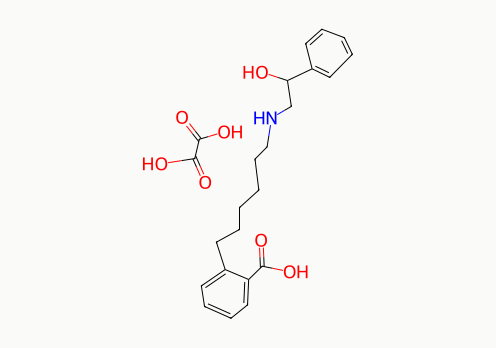 O=C(O)C(=O)O.O=C(O)c1ccccc1CCCCCCNCC(O)c1ccccc1